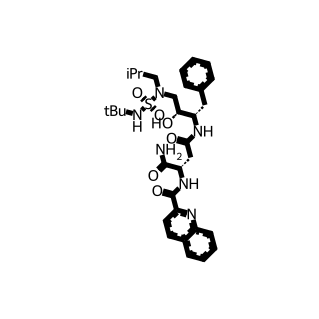 CC(C)CN(C[C@@H](O)[C@H](Cc1ccccc1)NC(=O)C[C@H](NC(=O)c1ccc2ccccc2n1)C(N)=O)S(=O)(=O)NC(C)(C)C